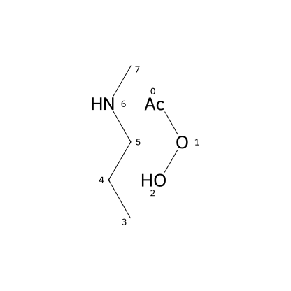 CC(=O)OO.CCCNC